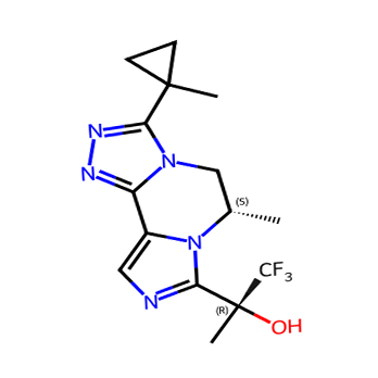 C[C@H]1Cn2c(nnc2C2(C)CC2)-c2cnc([C@@](C)(O)C(F)(F)F)n21